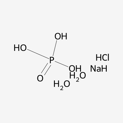 Cl.O.O.O=P(O)(O)O.[NaH]